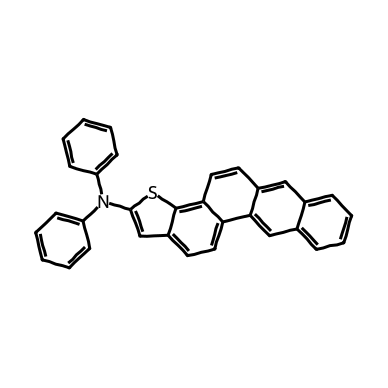 c1ccc(N(c2ccccc2)c2cc3ccc4c5cc6ccccc6cc5ccc4c3s2)cc1